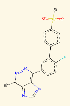 CCCC1N=NC(c2ccc(F)c(-c3ccc(S(=O)(=O)CC)cc3)c2)=C2N=CN=C21